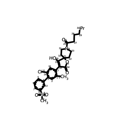 Cc1cc(-c2cccc(S(C)(=O)=O)c2)c(Cl)cc1C1=C(O)C2(CCN(C(=O)CCCC(C)C)CC2)OC1=O